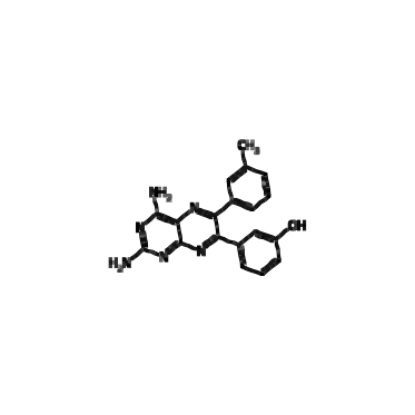 Cc1cccc(-c2nc3c(N)nc(N)nc3nc2-c2cccc(O)c2)c1